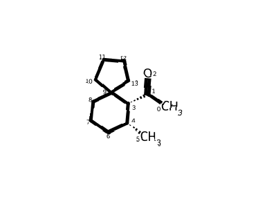 CC(=O)[C@@H]1[C@H](C)CCCC12CCCC2